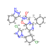 O=C(Nc1n[nH]c2ccccc12)[C@H](Cc1ccccc1)n1cnc(-c2cc(Cl)ccc2-n2cc(Cl)nn2)cc1=O